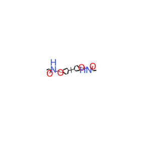 C=CC(=O)NCCOc1ccc(C(C)(C)c2ccc(OCCNC(=O)C=C)cc2)cc1